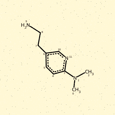 CN(C)c1ccc(CCN)cn1